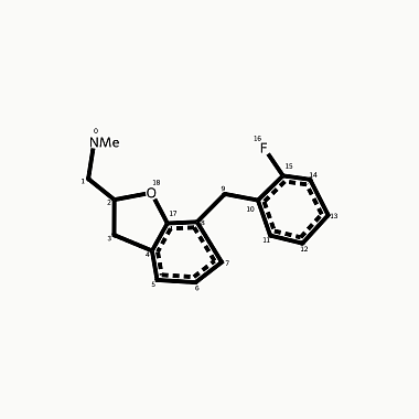 CNCC1Cc2cccc(Cc3ccccc3F)c2O1